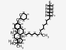 CN(CCCCCCC(F)(F)C(F)(F)C(F)(F)C(F)(F)F)CCCCC[C@@H]1Cc2cc(OC3CCCCO3)ccc2[C@@H]2[C@@H]1[C@@H]1CC[C@](C)(O)[C@@]1(C)C[C@@H]2F